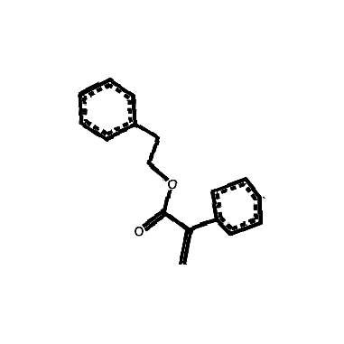 C=C(C(=O)OCCc1ccccc1)c1cc[c]cc1